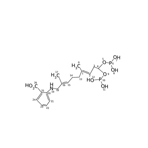 C/C(=C\CC(OP(O)O)OP(O)O)CC/C=C(\C)CNc1ccccc1C(=O)O